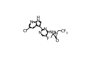 CC1(Nc2nc(-c3c[nH]c4ncc(Cl)cc34)ncc2F)C(=O)N1CC(F)(F)F